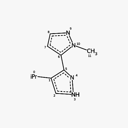 CC(C)c1c[nH]nc1-c1ccnn1C